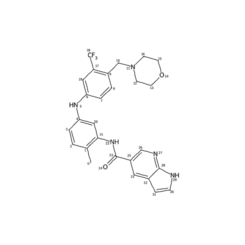 Cc1ccc(Nc2ccc(CN3CCOCC3)c(C(F)(F)F)c2)cc1NC(=O)c1cnc2[nH]ccc2c1